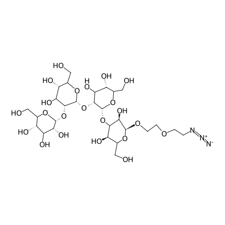 [N-]=[N+]=NCCOCCO[C@H]1OC(CO)[C@@H](O)C(O[C@H]2OC(CO)[C@@H](O)C(O)[C@H]2O[C@H]2OC(CO)[C@@H](O)C(O)[C@H]2O[C@H]2OC(CO)[C@@H](O)C(O)[C@H]2O)[C@H]1O